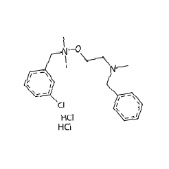 CN(CCO[N+](C)(C)Cc1cccc(Cl)c1)Cc1ccccc1.Cl.Cl